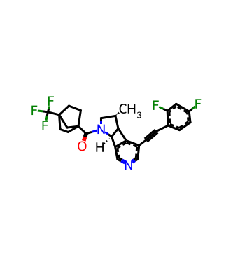 C[C@H]1CN(C(=O)C23CCC(C(F)(F)F)(CC2)C3)[C@@H]2c3cncc(C#Cc4ccc(F)cc4F)c3C21